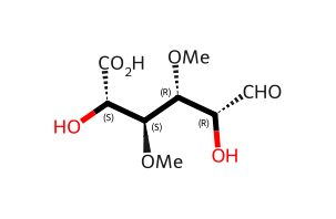 CO[C@H]([C@H](OC)[C@@H](O)C=O)[C@H](O)C(=O)O